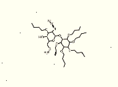 BOCC1OC(OC2C(OCC=C)C(OCCCC)C(OCCCC)C(OCCCC)C2OCCCC)C(N=[N+]=[N-])C(OCCCC)C1O